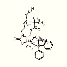 CC[C@@H](O[Si](c1ccccc1)(c1ccccc1)C(C)(C)C)[C@@]1(C)OC(=O)N(CCCCN=[N+]=[N-])[C@@H]1C=N[S+]([O-])C(C)(C)C